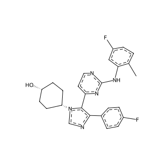 Cc1ccc(F)cc1Nc1nccc(-c2c(-c3ccc(F)cc3)ncn2[C@H]2CC[C@@H](O)CC2)n1